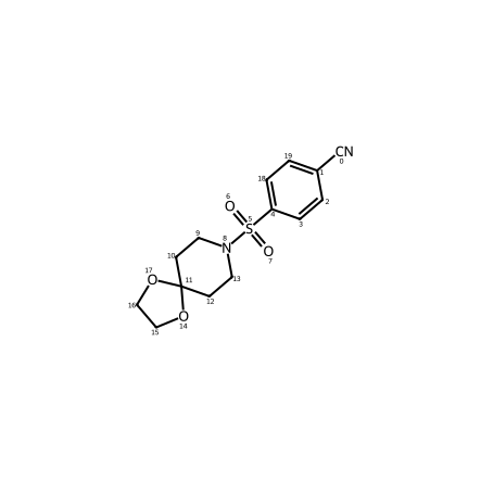 N#Cc1ccc(S(=O)(=O)N2CCC3(CC2)OCCO3)cc1